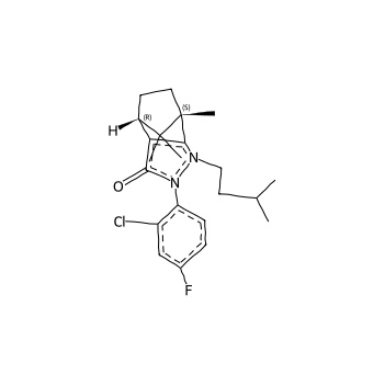 CC(C)CCn1c2c(c(=O)n1-c1ccc(F)cc1Cl)[C@@H]1CC[C@@]2(C)C1(C)C